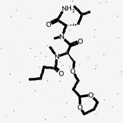 CCCC(=O)N(C)[C@H](COCCC1OCCCO1)C(=O)N(C)[C@@H](CC(C)C)C(N)=O